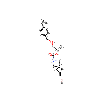 COc1ccc(COC[C@@H](OC(=O)N2CCC3(CC2)CC(Br)C3)C(F)(F)F)cc1